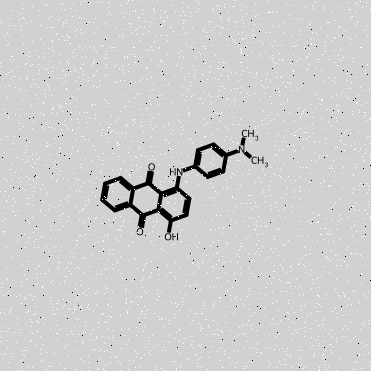 CN(C)c1ccc(Nc2ccc(O)c3c2C(=O)c2ccccc2C3=O)cc1